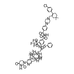 [2H]C1([2H])N(CC[C@H](CSc2ccccc2)Nc2ccc(S(=O)(=O)NC(=O)c3ccc(N4CCN(CC5=C(c6ccc(Cl)cc6)CCC(C)(C)C5)CC4)cc3)cc2S(=O)(=O)C(F)(F)F)C([2H])([2H])C([2H])([2H])N(Cc2ccc(N3CCC(=O)NC3=O)nc2)C1([2H])[2H]